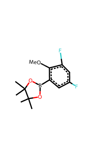 COc1c(F)cc(F)cc1B1OC(C)(C)C(C)(C)O1